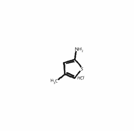 Cc1csc(N)c1.Cl